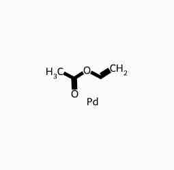 C=COC(C)=O.[Pd]